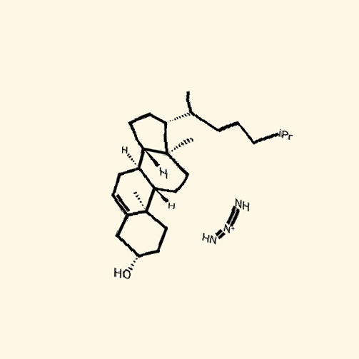 CC(C)CCCC(C)[C@H]1CC[C@H]2[C@@H]3CC=C4C[C@@H](O)CC[C@]4(C)[C@H]3CC[C@]12C.N=[N+]=N